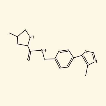 Cc1ncsc1-c1ccc(CNC(=O)C2CC(C)CN2)cc1